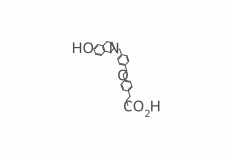 O=C(O)CCc1ccc(OCc2ccc(CN3CCc4cc(O)ccc4C3)cc2)cc1